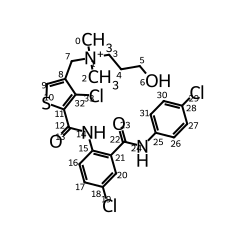 C[N+](C)(CCCO)Cc1csc(C(=O)Nc2ccc(Cl)cc2C(=O)Nc2ccc(Cl)cc2)c1Cl